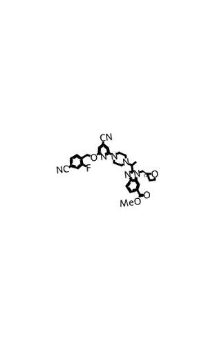 COC(=O)c1ccc2nc(C(C)N3CCN(c4cc(C#N)cc(OCc5ccc(C#N)cc5F)n4)CC3)n(C[C@@H]3CCO3)c2c1